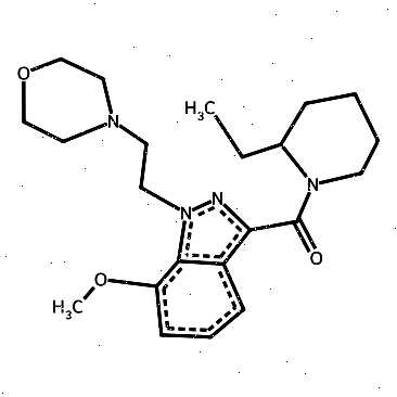 CCC1CCCCN1C(=O)c1nn(CCN2CCOCC2)c2c(OC)cccc12